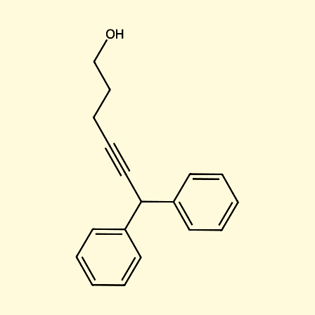 OCCCC#CC(c1ccccc1)c1ccccc1